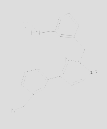 CCOC(=O)Nc1cccc(Cn2nc(-c3cccc(CN)c3)ccc2=O)c1